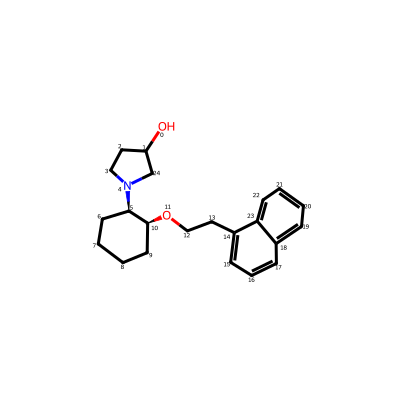 OC1CCN([C@@H]2CCCC[C@@H]2OCCc2cccc3ccccc23)C1